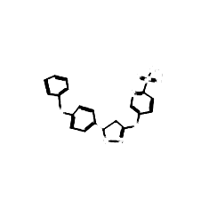 CS(=O)(=O)c1ccc(OC2=NO[C@@H](c3ccc(Oc4ccccc4)cc3)C2)cn1